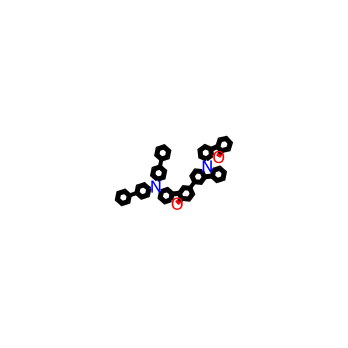 c1ccc(-c2ccc(N(c3ccc(-c4ccccc4)cc3)c3ccc4oc5ccc(-c6ccc7c(c6)c6ccccc6n7-c6cccc7c6oc6ccccc67)cc5c4c3)cc2)cc1